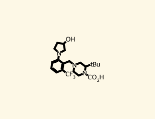 CC(C)(C)C1CN(Cc2c(N3CCC(O)C3)cccc2C(F)(F)F)CCN1C(=O)O